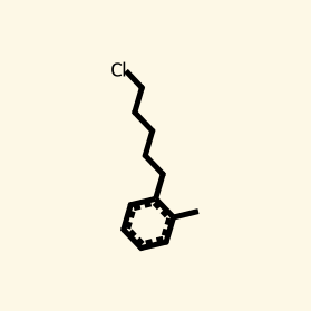 Cc1ccccc1CCCCCCl